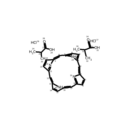 C1=Cc2cc3ccc(cc4nc(cc5ccc(cc1n2)[nH]5)C=C4)[nH]3.CC(C)C(=O)O.CC(C)C(=O)O.Cl.Cl